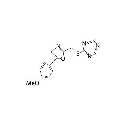 COc1ccc(-c2cnc(CSc3ncncn3)o2)cc1